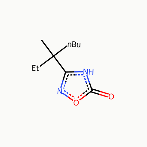 CCCCC(C)(CC)c1noc(=O)[nH]1